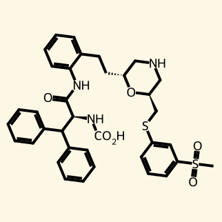 CS(=O)(=O)c1cccc(SC[C@@H]2CNC[C@@H](CCc3ccccc3NC(=O)[C@@H](NC(=O)O)C(c3ccccc3)c3ccccc3)O2)c1